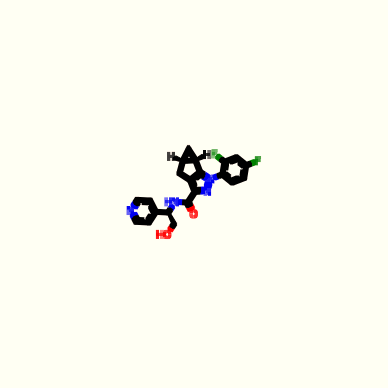 O=C(N[C@@H](CO)c1ccncc1)c1nn(-c2ccc(F)cc2F)c2c1C[C@@H]1C[C@H]21